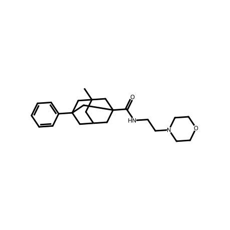 CC12CC3CC(C(=O)NCCN4CCOCC4)(C1)CC(c1ccccc1)(C3)C2